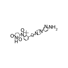 CC1(C)C(=O)N(C2CCC(=O)NC2=O)c2cccc(C34CC(N5CCN(c6ccc(N)nc6)CC5)(C3)C4)c21